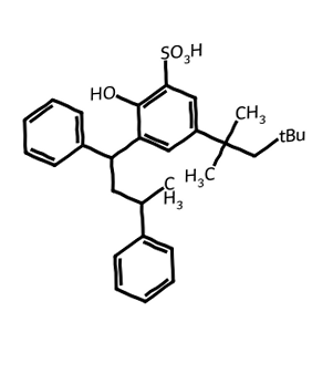 CC(CC(c1ccccc1)c1cc(C(C)(C)CC(C)(C)C)cc(S(=O)(=O)O)c1O)c1ccccc1